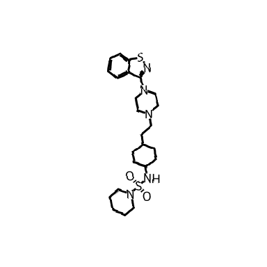 O=S(=O)(NC1CCC(CCN2CCN(c3nsc4ccccc34)CC2)CC1)N1CCCCC1